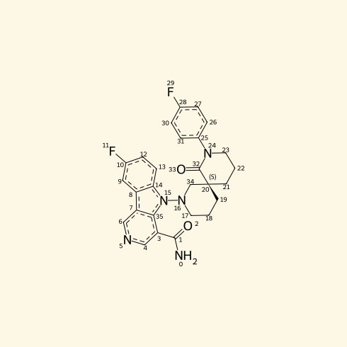 NC(=O)c1cncc2c3cc(F)ccc3n(N3CCC[C@@]4(CCCN(c5ccc(F)cc5)C4=O)C3)c12